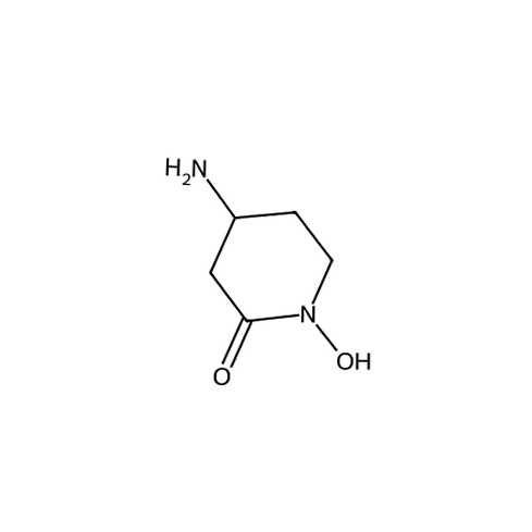 NC1CCN(O)C(=O)C1